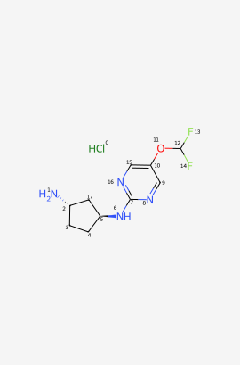 Cl.N[C@H]1CC[C@H](Nc2ncc(OC(F)F)cn2)C1